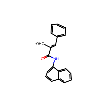 O=[C]C(=Cc1ccccc1)C(=O)Nc1cccc2ccccc12